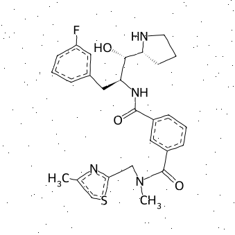 Cc1csc(CN(C)C(=O)c2cccc(C(=O)N[C@@H](Cc3cccc(F)c3)[C@H](O)[C@H]3CCCN3)c2)n1